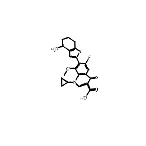 COc1c(-c2cc3c(s2)CCCC3N)c(F)cc2c(=O)c(C(=O)O)cn(C3CC3)c12